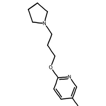 CCc1ccc(OCCCN2CCCC2)nc1